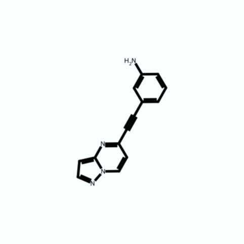 Nc1cccc(C#Cc2ccn3nccc3n2)c1